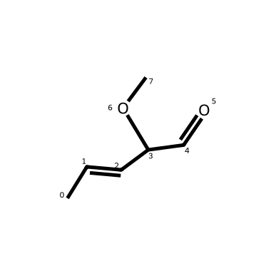 CC=CC(C=O)OC